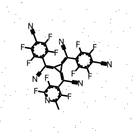 Cc1nc(F)c(F)c(/C(C#N)=C2\C(=C(C#N)c3c(F)c(F)c(C#N)c(F)c3F)\C2=C(/C#N)c2c(F)c(F)c(C#N)c(F)c2F)c1F